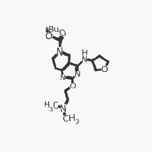 CN(C)CCOc1nc2c(c(NC3CCOC3)n1)CN(C(=O)OC(C)(C)C)CC2